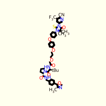 Cc1ncoc1-c1ccc(CNC(=O)[C@@H]2CCCN2C(=O)C(NC(=O)COCCCOc2ccc(Oc3ccc(N4C(=S)N(c5cnc(C#N)c(C(F)(F)F)c5)C(=O)C4(C)C)cc3)cc2)C(C)(C)C)cc1